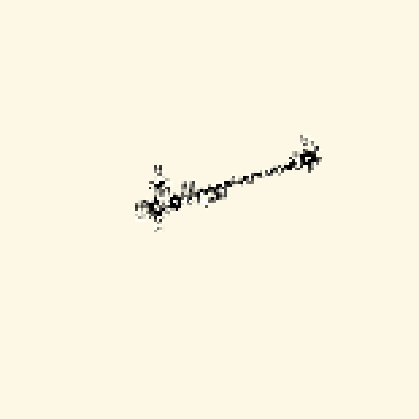 Cc1c(F)c(F)c(F)c(OC(=S)CCOCCOCCOCCOCCNCC(CCCCNC(=O)Nc2ccc(O[C@H]3O[C@H](CNC(=O)C(=O)O)[C@@H](O)[C@H](O)[C@@H]3O)cc2)NN)c1F